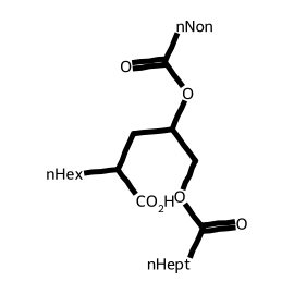 CCCCCCCCCC(=O)OC(COC(=O)CCCCCCC)CC(CCCCCC)C(=O)O